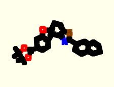 CC1(C)OB(c2ccc3c(c2)oc2ccc4sc(-c5ccc6ccccc6c5)nc4c23)OC1(C)C